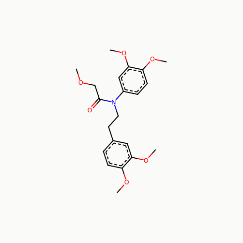 COCC(=O)N(CCc1ccc(OC)c(OC)c1)c1ccc(OC)c(OC)c1